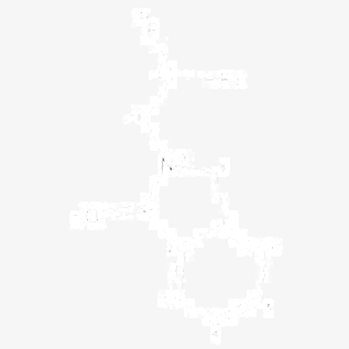 O=C1c2cc[c]cc2CN1CC(F)F